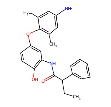 CCC(C(=O)Nc1cc(Oc2c(C)cc([NH])cc2C)ccc1O)c1ccccc1